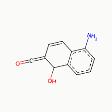 Nc1cccc2c1C=CC(=C=O)C2O